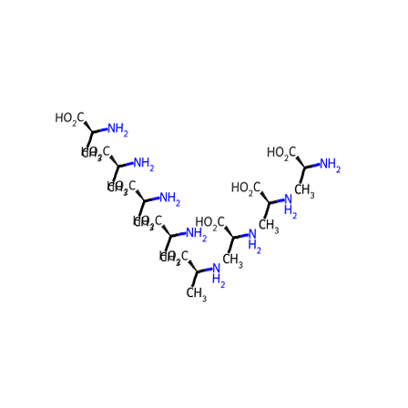 C[C@H](N)C(=O)O.C[C@H](N)C(=O)O.C[C@H](N)C(=O)O.C[C@H](N)C(=O)O.C[C@H](N)C(=O)O.C[C@H](N)C(=O)O.C[C@H](N)C(=O)O.C[C@H](N)C(=O)O